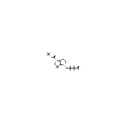 CC(C)(C)OC(=O)N1CC(F)(F)[C@H]2[C@@H]1CCN2CC(F)(F)C(C)(C)C(=O)O